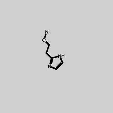 [N]OCCc1ncc[nH]1